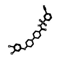 N#Cc1cccc(S(=O)(=O)NC(=O)C2CCC(N3CCC(Oc4ccc(Cl)c(Cl)c4)CC3)CC2)c1